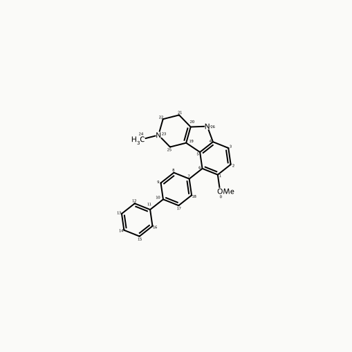 COc1ccc2c(c1-c1ccc(-c3ccccc3)cc1)C1=C(CCN(C)C1)[N]2